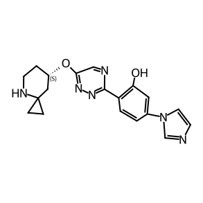 Oc1cc(-n2ccnc2)ccc1-c1ncc(O[C@H]2CCNC3(CC3)C2)nn1